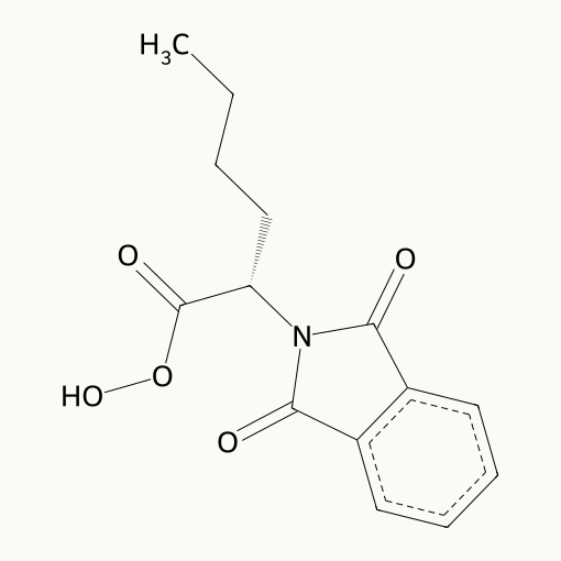 CCCC[C@@H](C(=O)OO)N1C(=O)c2ccccc2C1=O